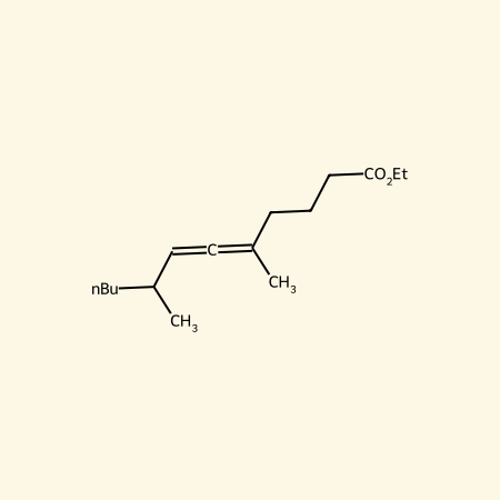 CCCCC(C)C=C=C(C)CCCC(=O)OCC